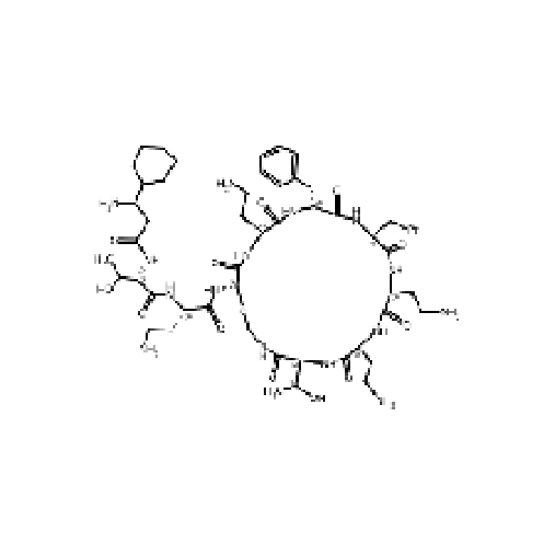 CC(C)C[C@@H]1NC(=O)[C@@H](Cc2ccccc2)NC(=O)[C@H](CCN)NC(=O)[C@@H](NC(=O)[C@H](CCN)NC(=O)[C@@H](NC(=O)CC(N)C2CCCCC2)C(C)O)CCNC(=O)[C@H]([C@H](C)O)NC(=O)[C@H](CCN)NC(=O)[C@H](CCN)NC1=O